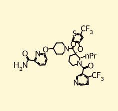 CCC[C@H]1N(C(=O)c2cnccc2C(F)(F)F)CCC[C@@]1(Oc1csc(C(F)(F)F)c1)C(=O)N1CCC(Oc2cccc(C(N)=O)n2)CC1